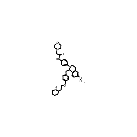 COc1ccc2c(c1)CCN(c1ccc(NC(=O)CN3CCOCC3)cc1)C2Cc1ccc(OCCC2CCCCN2)cc1